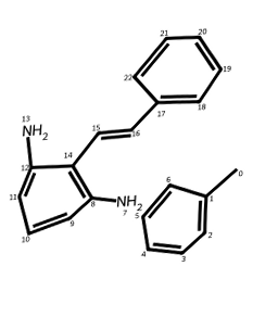 Cc1ccccc1.Nc1cccc(N)c1C=Cc1ccccc1